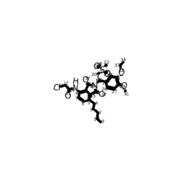 CCCCCc1ccc(NC(=O)CCl)c2c1C(=O)N([C@H](CS(C)(=O)=O)c1ccc(OC)c(OCC)c1)C2=O